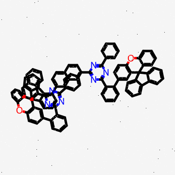 c1ccc(-c2nc(-c3ccc4ccc(-c5cccc6c5-c5ccccc5C65c6ccccc6Oc6ccc(-c7ccccc7-c7nc(-c8ccccc8)nc(-c8cccc9ccccc89)n7)cc65)cc4c3)nc(-c3ccccc3-c3ccc4c(c3)C3(c5ccccc5O4)c4ccccc4-c4ccccc43)n2)cc1